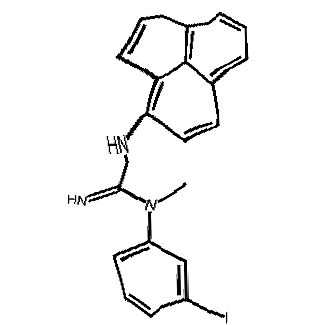 CN(C(=N)Nc1ccc2cccc3c2c1C=C3)c1cccc(I)c1